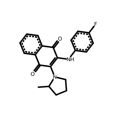 CC1CCCN1C1=C(Nc2ccc(F)cc2)C(=O)c2ccccc2C1=O